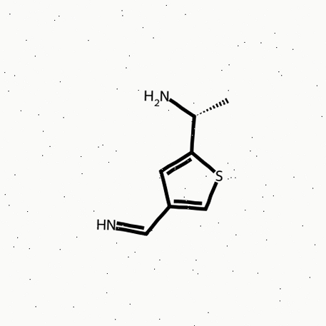 C[C@@H](N)c1cc(C=N)cs1